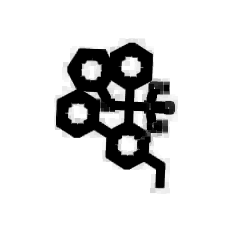 CCc1ccc(-c2ccccc2)c(C(Nc2ccccc2)(c2ccccc2)P(=O)(O)O)n1